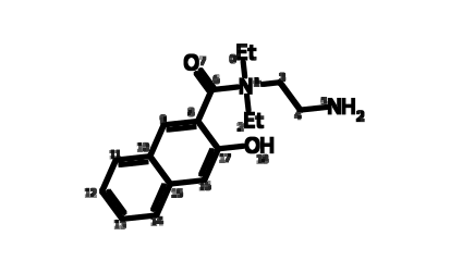 CC[N+](CC)(CCN)C(=O)c1cc2ccccc2cc1O